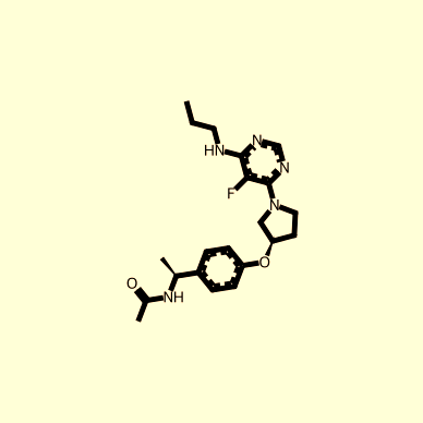 CCCNc1ncnc(N2CC[C@@H](Oc3ccc([C@H](C)NC(C)=O)cc3)C2)c1F